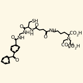 O=C(O)CN(CC(=O)O)C(CCCCNC(=O)CCC(=O)NC(CS)C(=O)NCNC(=O)c1ccc(C(=O)c2ccccc2)cc1)C(=O)O